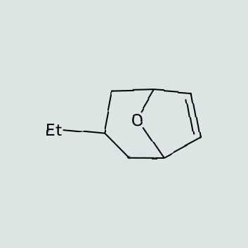 CCC1CC2C=CC(C1)O2